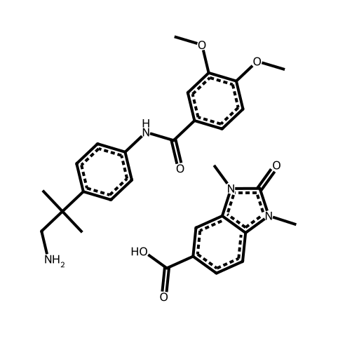 COc1ccc(C(=O)Nc2ccc(C(C)(C)CN)cc2)cc1OC.Cn1c(=O)n(C)c2cc(C(=O)O)ccc21